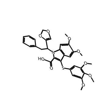 COc1cc2c(Sc3cc(OC)c(OC)c(OC)c3)c(C(=O)O)n(C(Cc3ccccc3)C3=COCO3)c2cc1OC